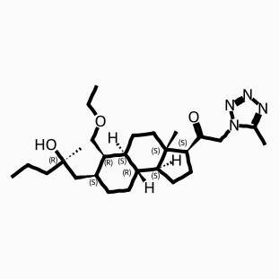 CCC[C@@](C)(O)C[C@@H]1CC[C@@H]2[C@H](CC[C@]3(C)[C@@H](C(=O)Cn4nnnc4C)CC[C@@H]23)[C@@H]1COCC